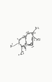 Clc1cc2nc(Cl)c(Br)cc2cc1I